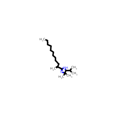 C=C(CCCCCCCCCC)C1=NC(C)(C)C(C(C)C)N1